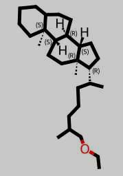 CCOCC(C)CCCC(C)[C@H]1CC[C@H]2[C@@H]3CCC4CCCC[C@]4(C)[C@H]3CC[C@]12C